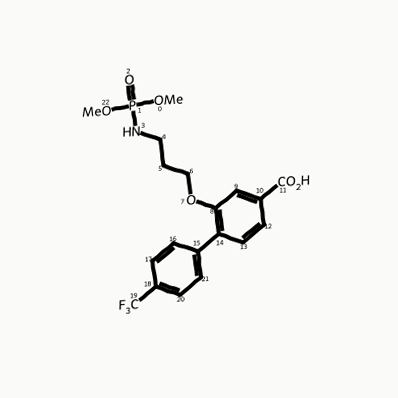 COP(=O)(NCCCOc1cc(C(=O)O)ccc1-c1ccc(C(F)(F)F)cc1)OC